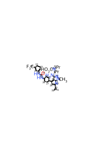 CC(C)N(C(=O)O)C(C)C.Cn1nc(N)c2c(-c3ccc(NC(=O)Nc4cccc(C(F)(F)F)c4)cc3)cc(C3CC3)nc21